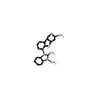 Cc1cc2oc3c(N4c5ccccc5N(C)C4C)cccc3c2cn1